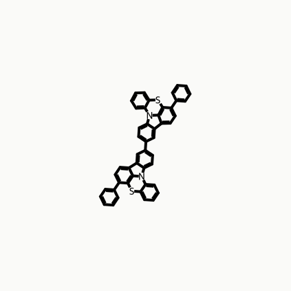 c1ccc(-c2ccc3c4cc(-c5ccc6c(c5)c5ccc(-c7ccccc7)c7c5n6-c5ccccc5S7)ccc4n4c3c2Sc2ccccc2-4)cc1